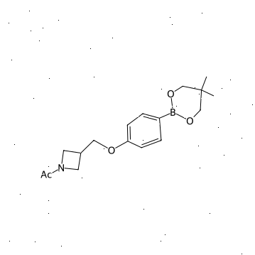 CC(=O)N1CC(COc2ccc(B3OCC(C)(C)CO3)cc2)C1